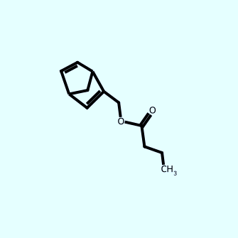 CCCC(=O)OCC1=CC2C=CC1C2